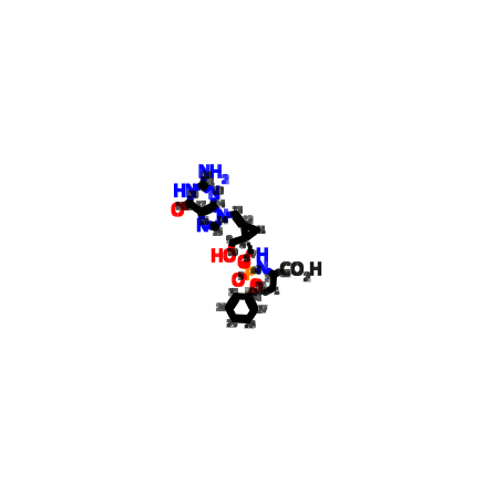 CC(C)CC(N[P@](=O)(OC[C@@]1(CO)C/C1=C/n1cnc2c(=O)[nH]c(N)nc21)Oc1ccccc1)C(=O)O